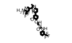 COc1cc(-c2ccc3nc(C)c(-c4cnc(N)c(C(F)(F)F)c4)n3n2)ccc1OCCNC(=O)Nc1cccc(C(F)(F)F)c1